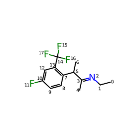 CC/N=C(\C)C(C)c1ccc(F)cc1C(F)(F)F